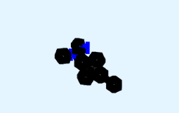 c1ccc(-c2ccc([Si](c3ccccc3)(c3ccccc3)c3ccc4c(c3)c3ncccc3n4-c3ccccc3)cc2)cc1